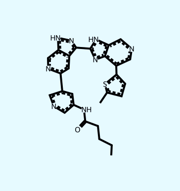 CCCCC(=O)Nc1cncc(-c2cc3c(-c4nc5c(-c6ccc(C)s6)cncc5[nH]4)n[nH]c3cn2)c1